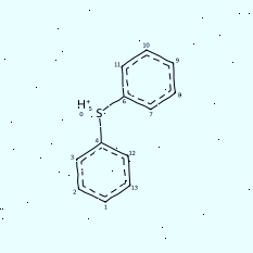 [H+].c1ccc(Sc2ccccc2)cc1